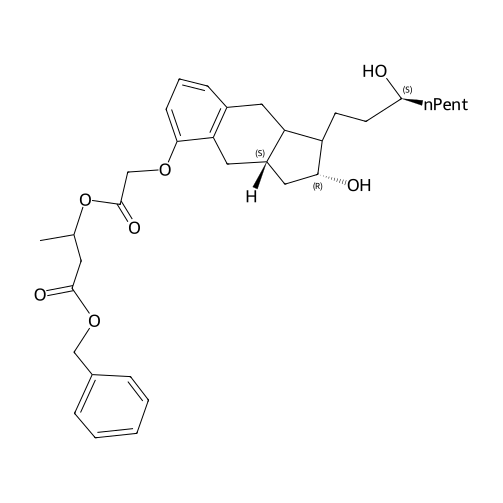 CCCCC[C@H](O)CCC1C2Cc3cccc(OCC(=O)OC(C)CC(=O)OCc4ccccc4)c3C[C@H]2C[C@H]1O